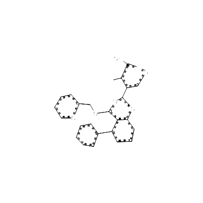 CCc1c(C#N)cncc1-c1nc(NCc2ccccn2)c2c(-c3ccccc3)cccc2n1